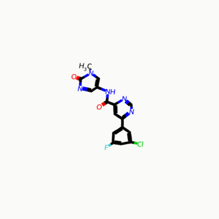 Cn1cc(NC(=O)c2cc(-c3cc(F)cc(Cl)c3)ncn2)cnc1=O